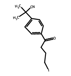 CC(C)(C#N)c1ccc(C(=O)CCCI)cc1